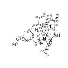 CC/C=C\NC1=C(N(C)C)[C@@H]2[C@H](C1)N(CC1CC1)[C@@]1(C(=O)Nc3cc(Cl)ccc31)[C@H]2c1cccc(C)c1F